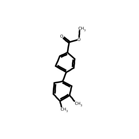 COC(=O)c1ccc(-c2ccc(C)c(C)c2)cc1